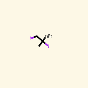 CCCC(C)(I)CI